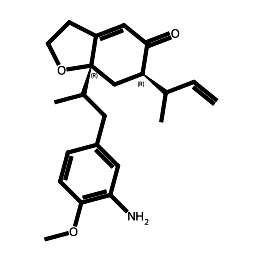 C=CC(C)[C@H]1C[C@]2(C(C)Cc3ccc(OC)c(N)c3)OCCC2=CC1=O